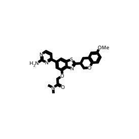 COc1ccc2c(c1)CC(c1nc3c(OCC(=O)N(C)C)cc(-c4ccnc(N)n4)cc3s1)CO2